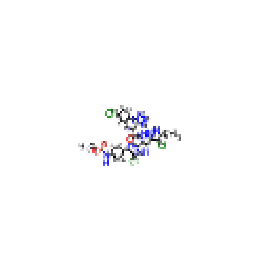 COC(=O)Nc1ccc(-c2nc(C(Cc3[nH]nc(C)c3Cl)NC(=O)/C=C/c3cc(Cl)ccc3-n3cnnn3)[nH]c2Cl)cc1